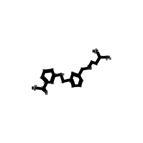 CC(C)CCNCc1cccc(COc2cccc(C(N)=O)c2)c1